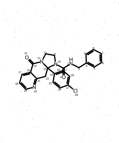 O=C(NCc1ccccc1)N1CCN2C(=O)c3cccnc3CC12c1ccc(Cl)cc1